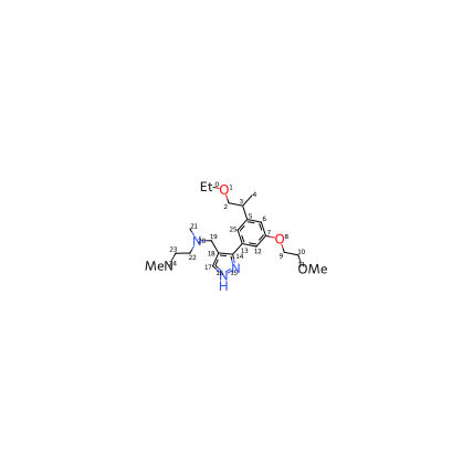 CCOCC(C)c1cc(OCCOC)cc(-c2n[nH]cc2CN(C)CCNC)c1